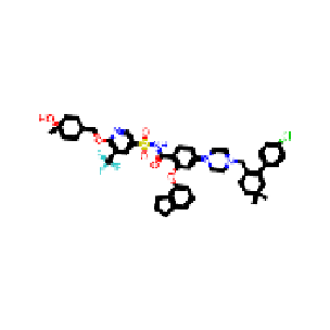 CC1(C)CCC(CN2CCN(c3ccc(C(=O)NS(=O)(=O)c4cnc(OCC5CCC(C)(O)CC5)c(C(F)(F)F)c4)c(Oc4cccc5c4CCC5)c3)CC2)=C(c2ccc(Cl)cc2)C1